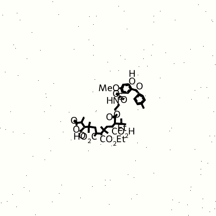 CCOC(=O)C(C(CC(C)(C)C1C(=O)OC(=O)C1C)C(=O)O)C(C)(C)CC(C(=O)O)C(C(=O)OCCNS(=O)(=O)c1cc(C(=O)c2ccc(C)cc2)c(O)cc1OC)C(C)(C)CC